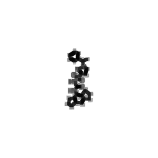 CC(c1ccccc1)n1ccc(S(=O)(=O)NC(=O)Nc2c3c(cc4c2CCC4)CCC3)n1